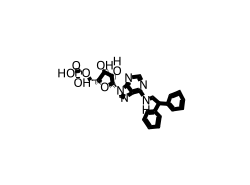 O=P(O)(O)OC[C@H]1O[C@@H](n2cnc3c(NCC(c4ccccc4)c4ccccc4)ncnc32)[C@H](O)[C@@H]1O